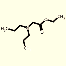 C[CH]OC(=O)CN(CCC)CCC